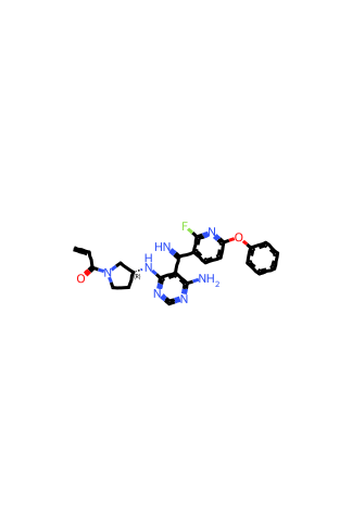 C=CC(=O)N1CC[C@@H](Nc2ncnc(N)c2C(=N)c2ccc(Oc3ccccc3)nc2F)C1